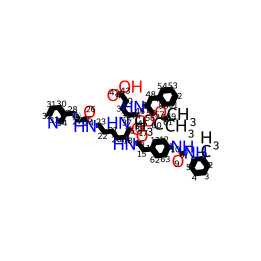 Cc1ccccc1NC(=O)Nc1ccc(CC(=O)NC(CCCCNC(=O)/C=C/c2cccnc2)C(=O)NC(CCC(=O)O)C(=O)NC(Cc2ccccc2)C(=O)OC(C)(C)C)cc1